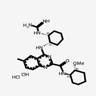 CO[C@@H]1CCCC[C@H]1NC(=O)c1nc(N[C@H]2CCCC[C@H]2NC(=N)N)c2cc(C)ccc2n1.Cl.Cl